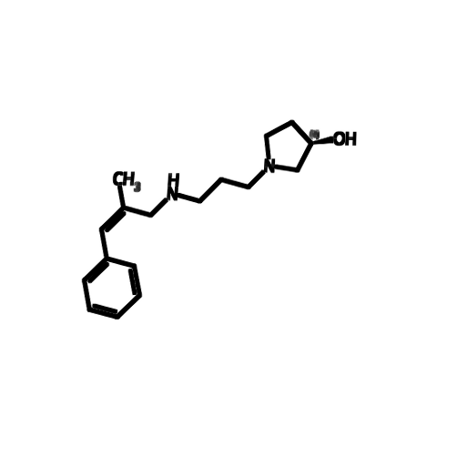 CC(=Cc1ccccc1)CNCCCN1CC[C@@H](O)C1